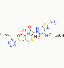 C#CCO/N=C(/C(=O)NC1C(=O)N2C(C(=O)O)=C(CSc3nnnn3CC#C)CS[C@H]12)c1csc(N)n1